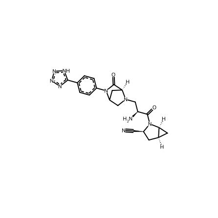 N#C[C@@H]1C[C@@H]2C[C@@H]2N1C(=O)[C@@H](N)CN1CC2C[C@H]1C(=O)N2c1ccc(-c2nnn[nH]2)cc1